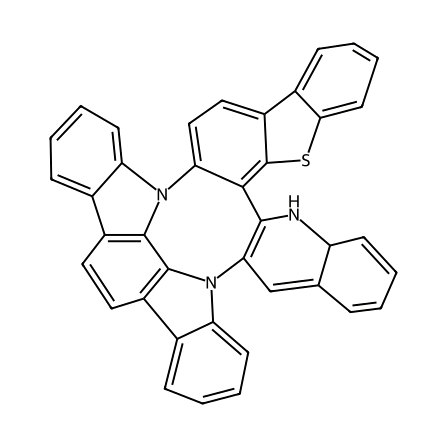 C1=CC2=Cc3c(c4c5sc6ccccc6c5ccc4n4c5ccccc5c5ccc6c7ccccc7n3c6c54)NC2C=C1